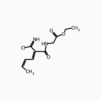 C/C=C\C=C(/C(=N)Cl)C(=O)NCC(=O)OCC